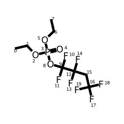 CCOP(=O)(OCC)OC(F)(F)C(F)(F)CC(F)(F)F